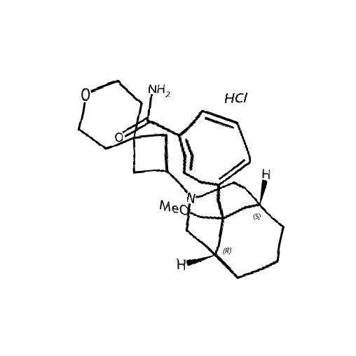 COC1(c2cccc(C(N)=O)c2)[C@@H]2CCC[C@H]1CN(C1CC3(CCOCC3)C1)C2.Cl